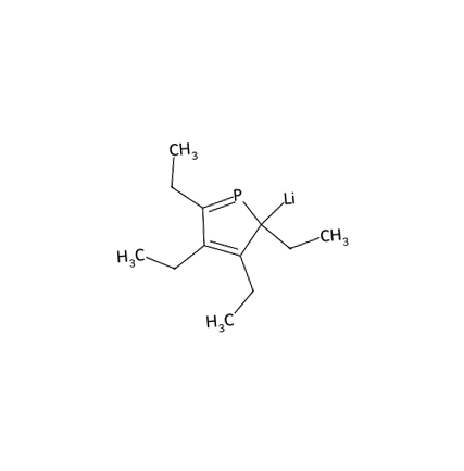 [Li][C]1(CC)P=C(CC)C(CC)=C1CC